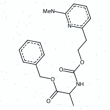 CNc1cccc(CCOC(=O)NC(C)C(=O)OCc2ccccc2)n1